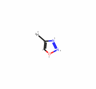 [2H]c1conn1